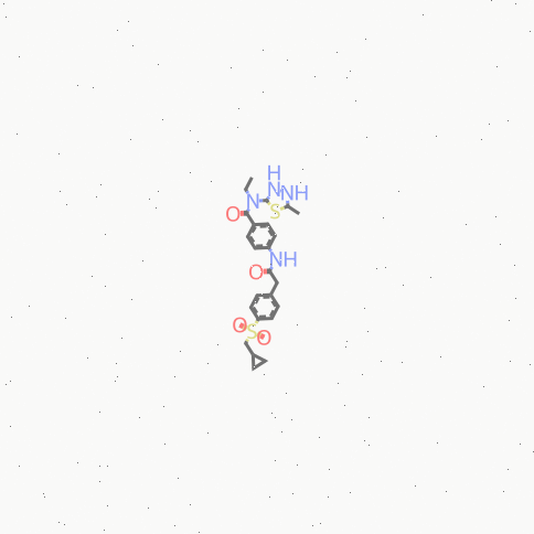 CCN(C(=O)c1ccc(NC(=O)Cc2ccc(S(=O)(=O)CC3CC3)cc2)cc1)C1NNC(C)S1